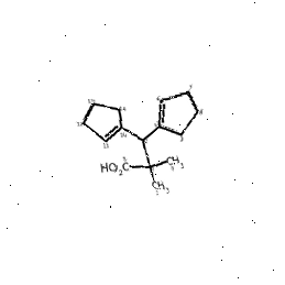 CC(C)(C(=O)O)C(C1=CCCC1)C1=CCCC1